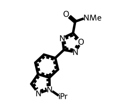 CNC(=O)c1nc(-c2ccc3cnn(C(C)C)c3c2)no1